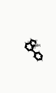 [c]1ccccc1-c1cccc2cc[nH]c12